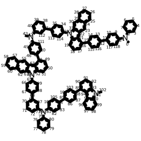 CN(c1ccccc1)c1ccc(-c2ccc(-c3cccc4c3c3cc5ccccc5cc3n4-c3ccc(-c4cccc(N(C)c5ccc(-c6cccc7c6c6cc8ccccc8cc6n7-c6ccc(-c7cccc(N(c8ccccc8)c8ccc(-c9ccc(-c%10cccc%11c%10c%10ccccc%10n%11C)cc9)cc8)c7)cc6)cc5)c4)cc3)cc2)cc1